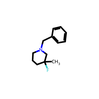 CC1(F)CCCN(Cc2ccccc2)C1